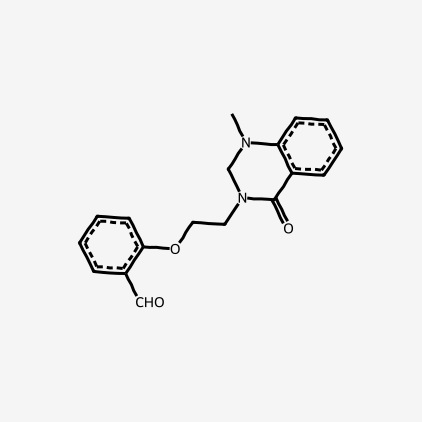 CN1CN(CCOc2ccccc2C=O)C(=O)c2ccccc21